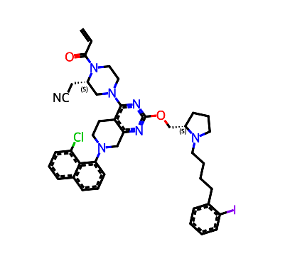 C=CC(=O)N1CCN(c2nc(OC[C@@H]3CCCN3CCCCc3ccccc3I)nc3c2CCN(c2cccc4cccc(Cl)c24)C3)C[C@@H]1CC#N